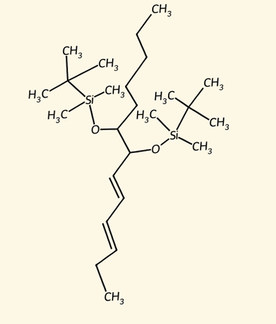 CCC=CC=CC(O[Si](C)(C)C(C)(C)C)C(CCCCC)O[Si](C)(C)C(C)(C)C